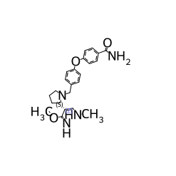 CN/C=C(\C(=N)OC)[C@@H]1CCCN1Cc1ccc(Oc2ccc(C(N)=O)cc2)cc1